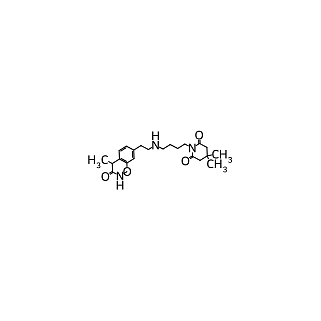 CC1C(=O)NOc2cc(CCNCCCCN3C(=O)CC(C)(C)CC3=O)ccc21